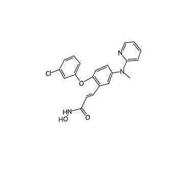 CN(c1ccc(Oc2cccc(Cl)c2)c(/C=C/C(=O)NO)c1)c1ccccn1